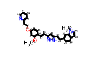 COc1cc(OCCc2ccccn2)ccc1/C=C/c1cc(C=Cc2ccc3ccn(C)c3c2)[nH]n1